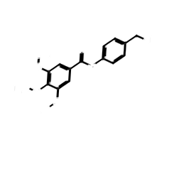 COc1cc(C(=O)Nc2ccc(CCl)cc2)cc(OC)c1OC